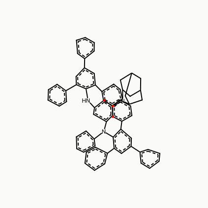 c1ccc(-c2cc(-c3ccccc3)c(Nc3cc(N(c4ccccc4)c4c(-c5ccccc5)cc(-c5ccccc5)cc4-c4ccccc4)cc(N4C5CC6CC(C5)CC4C6)c3)c(-c3ccccc3)c2)cc1